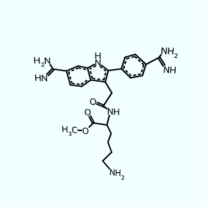 COC(=O)C(CCCCN)NC(=O)Cc1c(-c2ccc(C(=N)N)cc2)[nH]c2cc(C(=N)N)ccc12